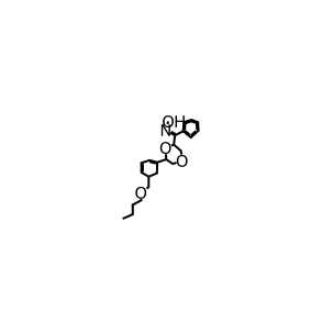 CCCCOCC1C=CC=C(C2COCC(C(=NO)c3ccccc3)O2)C1